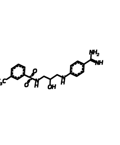 N=C(N)c1ccc(NCC(O)CNS(=O)(=O)c2cccc(C(F)(F)F)c2)cc1